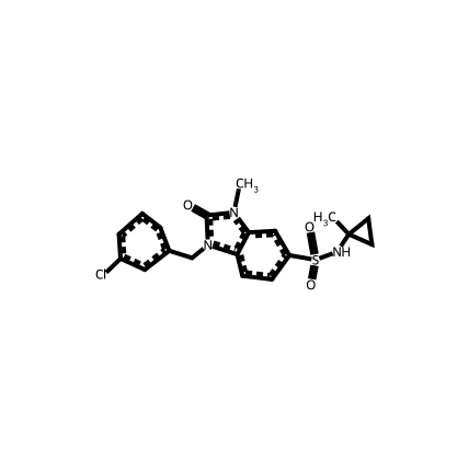 Cn1c(=O)n(Cc2cccc(Cl)c2)c2ccc(S(=O)(=O)NC3(C)CC3)cc21